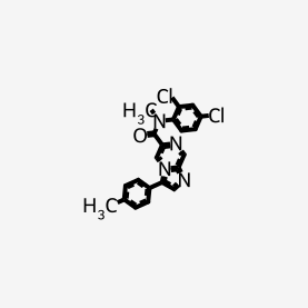 Cc1ccc(-c2cnc3cnc(C(=O)N(C)c4ccc(Cl)cc4Cl)cn23)cc1